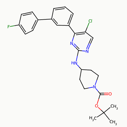 CC(C)(C)OC(=O)N1CCC(Nc2ncc(Cl)c(-c3cccc(-c4ccc(F)cc4)c3)n2)CC1